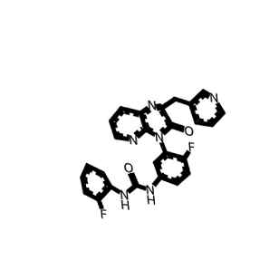 O=C(Nc1ccc(F)c(-n2c(=O)c(Cc3cccnc3)nc3cccnc32)c1)Nc1ccccc1F